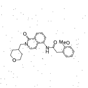 COc1ccccc1CC(=O)Nc1cccc2c(=O)n(CC3CCOCC3)ccc12